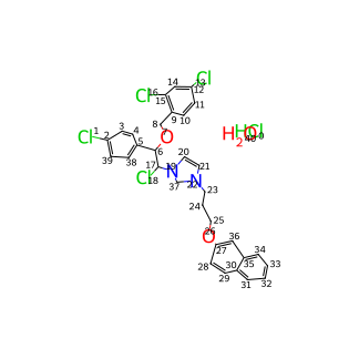 Cl.Clc1ccc(C(OCc2ccc(Cl)cc2Cl)C(Cl)N2C=CN(CCCOc3ccc4ccccc4c3)C2)cc1.O